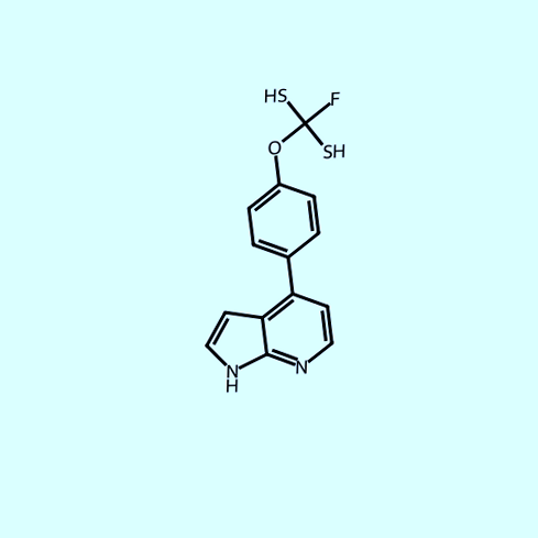 FC(S)(S)Oc1ccc(-c2ccnc3[nH]ccc23)cc1